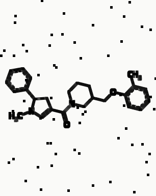 Cc1ccccc1OCC1CCCN(C(=O)C2=CN(C)C(c3ccccc3)C2)C1